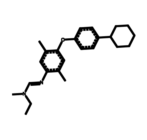 CCN(C)C=Nc1cc(C)c(Oc2ccc(C3CCCCC3)cc2)cc1C